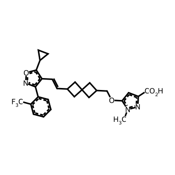 Cn1nc(C(=O)O)cc1OCC1CC2(CC(/C=C/c3c(-c4ccccc4C(F)(F)F)noc3C3CC3)C2)C1